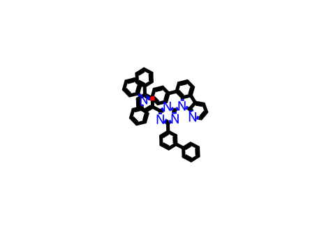 c1ccc(-c2cccc(-c3nc(-c4cccc(-c5ccccc5)c4)nc(-n4c5ncccc5c5cccc(-c6ccc(N(c7ccccc7)c7ccccc7)cc6)c54)n3)c2)cc1